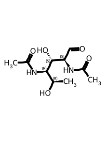 CC(=O)N[C@@H]([C@H](O)[C@@H](C=O)NC(C)=O)[C@@H](C)O